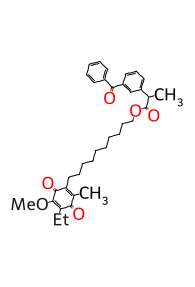 CCC1=C(OC)C(=O)C(CCCCCCCCCCOC(=O)C(C)c2cccc(C(=O)c3ccccc3)c2)=C(C)C1=O